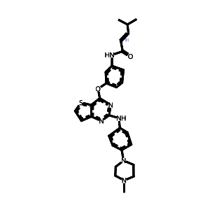 CC(C)/C=C/C(=O)Nc1cccc(Oc2nc(Nc3ccc(N4CCN(C)CC4)cc3)nc3ccsc23)c1